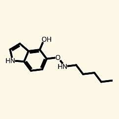 CCCCCNOc1ccc2[nH]ccc2c1O